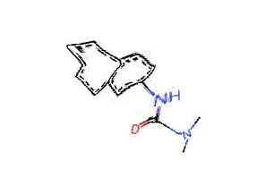 CN(C)C(=O)Nc1ccc2ccccc2c1